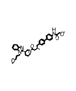 COCCCn1c([C@@H]2CCCN(C(=O)C[C@H](C)Cc3ccc(-c4ccc(NC(=O)COC)cc4)cc3)C2)nc2ccccc21